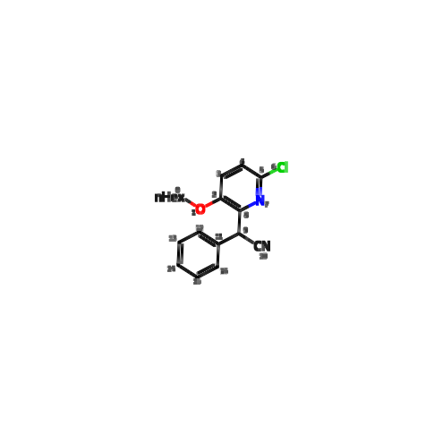 CCCCCCOc1ccc(Cl)nc1C(C#N)c1ccccc1